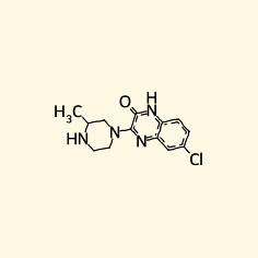 CC1CN(c2nc3cc(Cl)ccc3[nH]c2=O)CCN1